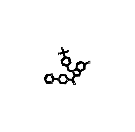 O=C(c1cc2cc(Cl)ccc2n1Cc1ccc(C(F)(F)F)cc1)N1CCN(c2ncccn2)CC1